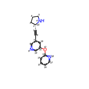 C(#C[C@@H]1CCCN1)c1cncc(Oc2ccccn2)c1